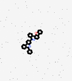 c1ccc(-c2nc3cc(-c4nc5ccc6c7ccccc7oc6c5c5ccccc45)ccc3c3ccccc23)cc1